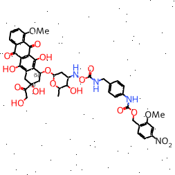 COc1cc([N+](=O)[O-])ccc1COC(=O)Nc1ccc(CNC(=O)ONC2CC(O[C@H]3C[C@](O)(C(=O)CO)Cc4c(O)c5c(c(O)c43)C(=O)c3c(OC)cccc3C5=O)OC(C)C2O)cc1